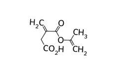 C=C(C)OC(=O)C(=C)CC(=O)O